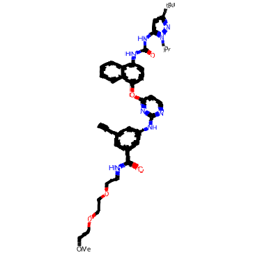 C#Cc1cc(Nc2nccc(Oc3ccc(NC(=O)Nc4cc(C(C)(C)C)nn4C(C)C)c4ccccc34)n2)cc(C(=O)NCCOCCOCCOC)c1